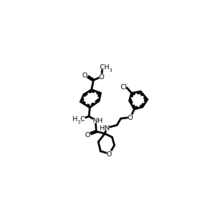 COC(=O)c1ccc(C(C)NC(=O)C2(NCCOc3cccc(Cl)c3)CCOCC2)cc1